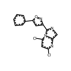 Clc1cc(Cl)n2c(-c3cc(-c4ccccc4)on3)ncc2n1